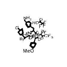 COc1ccc(C(NC(=O)C(Cc2ccc(CN)cc2)NC(=O)C(c2ccc(Cl)cc2)C(C)C)C(=O)NC(C(=O)C(F)(F)F)C(C)C)cc1.O=C(O)C(F)(F)F